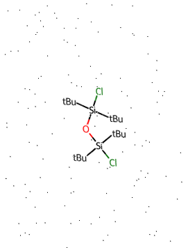 CC(C)(C)[Si](Cl)(O[Si](Cl)(C(C)(C)C)C(C)(C)C)C(C)(C)C